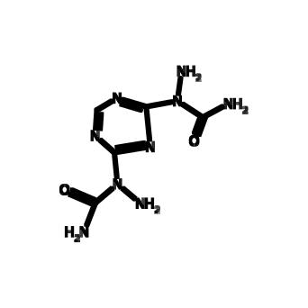 NC(=O)N(N)c1ncnc(N(N)C(N)=O)n1